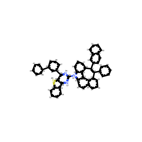 c1ccc(C2=C(c3ccc4ccccc4c3)c3cccc4c3c3c5c2cccc5ccc3n4-c2nc(-c3cccc(-c4ccccc4)c3)c3sc4ccccc4c3n2)cc1